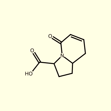 O=C(O)C1CCC2CC=CC(=O)N21